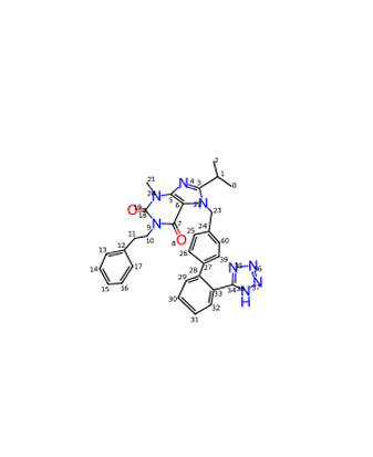 CC(C)c1nc2c(c(=O)n(CCc3ccccc3)c(=O)n2C)n1Cc1ccc(-c2ccccc2-c2nnn[nH]2)cc1